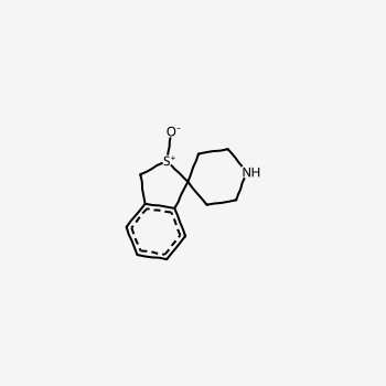 [O-][S+]1Cc2ccccc2C12CCNCC2